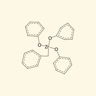 c1ccc([CH2][Zr]([O]c2ccccc2)([O]c2ccccc2)[O]c2ccccc2)cc1